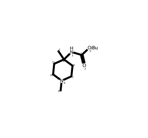 CC(C)COC(=O)NC1(C)CCN(C)CC1